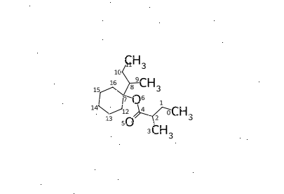 CCC(C)C(=O)OC1(C(C)CC)CCCCC1